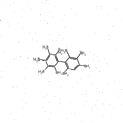 Bc1cc(B)c(-c2c(B)c(B)c(B)c(B)c2B)c(B)c1B